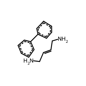 NCC=CCN.c1ccc(-c2ccccc2)cc1